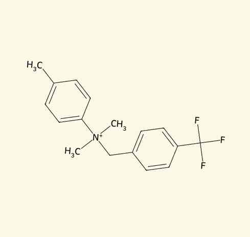 Cc1ccc([N+](C)(C)Cc2ccc(C(F)(F)F)cc2)cc1